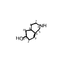 OC1CC=C2CNCCC2C1